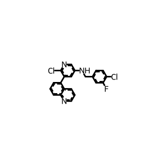 Fc1cc(CNc2cnc(Cl)c(-c3cccc4ncccc34)c2)ccc1Cl